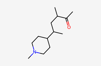 CC(=O)C(C)CC(C)C1CCN(C)CC1